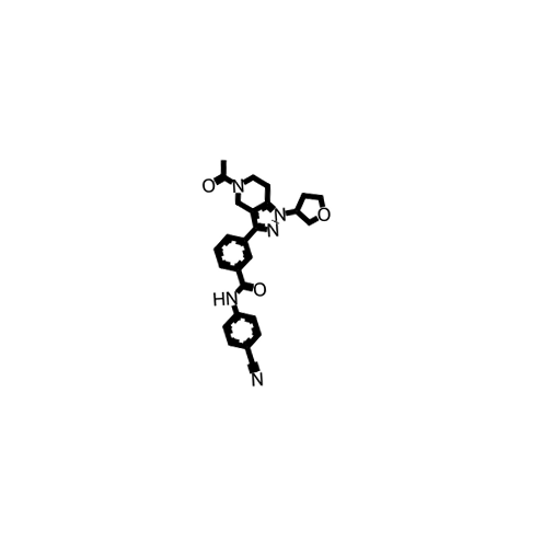 CC(=O)N1CCc2c(c(-c3cccc(C(=O)Nc4ccc(C#N)cc4)c3)nn2C2CCOC2)C1